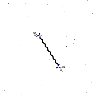 C[NH+]([BH2-]C#N)CCCCCCCCCCCCCC[N+](C)(C)[BH2-]C#N